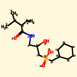 CC(C)C([AsH2])C(=O)NCC(O)CP(=O)(O)CC1CCCCC1